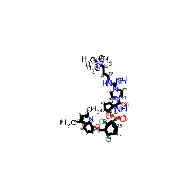 Cc1cc(C)c2cccc(OCc3c(Cl)ccc(S(=O)(=O)NC4(C(=O)N5CCN(C(=N)NCCC[N+](C)(C)C)CC5)CCCC4)c3Cl)c2n1